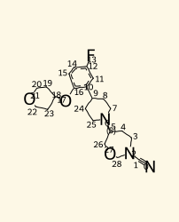 N#CN1CC[C@H](N2CCC(c3cc(F)ccc3OC3CCOCC3)CC2)COC1